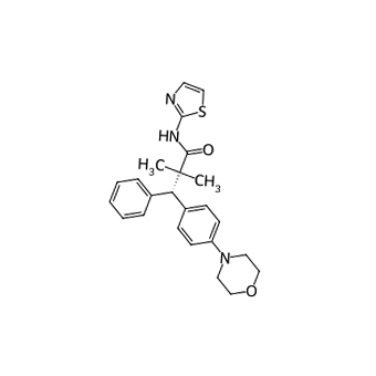 CC(C)(C(=O)Nc1nccs1)[C@@H](c1ccccc1)c1ccc(N2CCOCC2)cc1